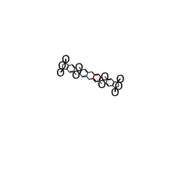 O=c1oc(=O)c2cc3oc4cc5c(cc4oc3cc12)C1c2ccccc2C5c2cc3oc4cc5c(=O)oc(=O)c5cc4oc3cc21